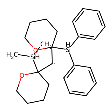 C[SiH](C)C1([CH]C2([SiH](c3ccccc3)c3ccccc3)CCCCO2)CCCCO1